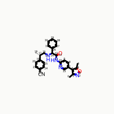 Cc1noc(C)c1-c1ccc(NC(=O)C(NC[C@@H](C)c2ccc(C#N)cc2)c2ccccc2)nc1